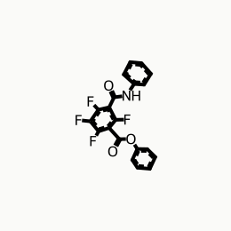 O=C(Nc1ccccc1)c1c(F)c(F)c(F)c(C(=O)Oc2ccccc2)c1F